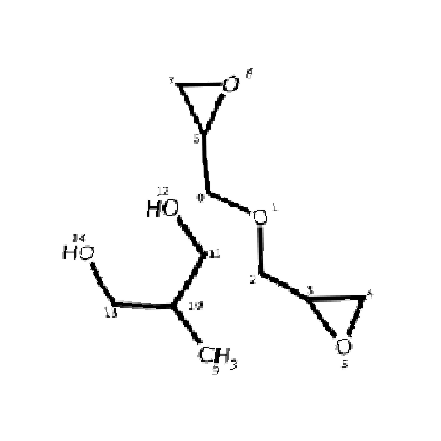 C(OCC1CO1)C1CO1.CC(CO)CO